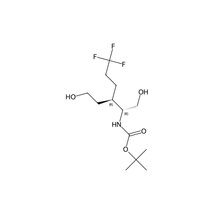 CC(C)(C)OC(=O)N[C@@H](CO)[C@@H](CCO)CCC(F)(F)F